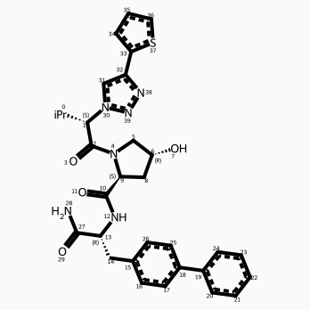 CC(C)[C@@H](C(=O)N1C[C@H](O)C[C@H]1C(=O)N[C@H](Cc1ccc(-c2ccccc2)cc1)C(N)=O)n1cc(-c2cccs2)nn1